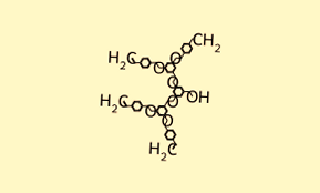 C=Cc1ccc(COc2cc(COc3cc(CO)cc(OCc4cc(OCc5ccc(C=C)cc5)cc(OCc5ccc(C=C)cc5)c4)c3)cc(OCc3ccc(C=C)cc3)c2)cc1